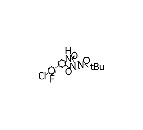 CC(C)(C)CC(=O)N1CCN2C(=O)c3cc(-c4ccc(Cl)c(F)c4)ccc3NC(=O)C2C1